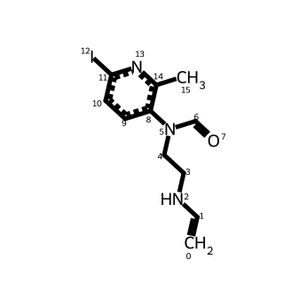 C=CNCCN(C=O)c1ccc(I)nc1C